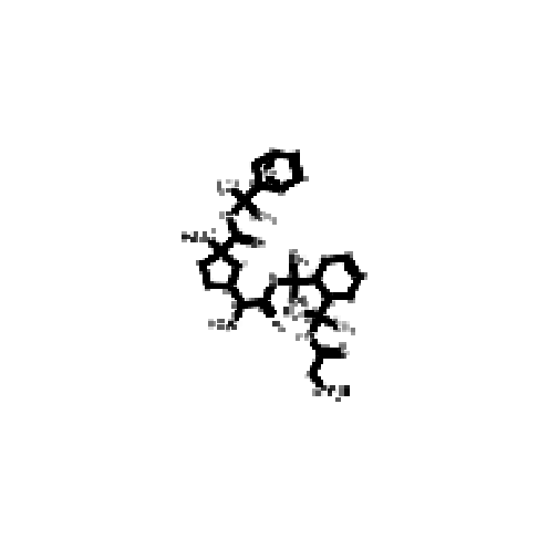 CC(C)(OC(=O)C1(C(=O)O)CCC(C(C(=O)O)C(=O)OC(C)(C)C2CC=CCC2C(C)(C)OC(=O)CC(=O)O)C1)C1CC2C=CC1S2